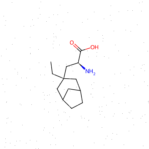 CCC1(C[C@H](N)C(=O)O)CC2CCC(C2)C1